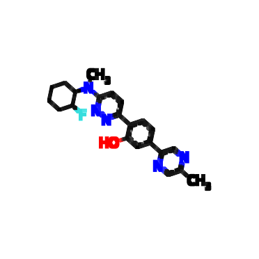 Cc1cnc(-c2ccc(-c3ccc(N(C)[C@@H]4CCCC[C@@H]4F)nn3)c(O)c2)cn1